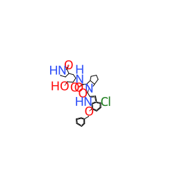 O=C1NCCC1CC(NC(=O)C1C2CCCC2CN1C(=O)c1cc2c(Cl)ccc(OCc3ccccc3)c2[nH]1)C(=O)CO